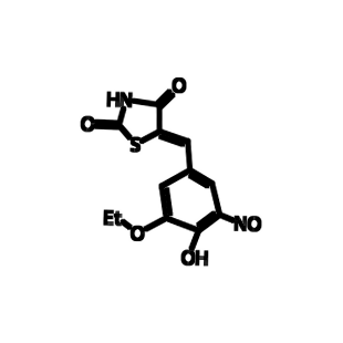 CCOc1cc(/C=C2\SC(=O)NC2=O)cc(N=O)c1O